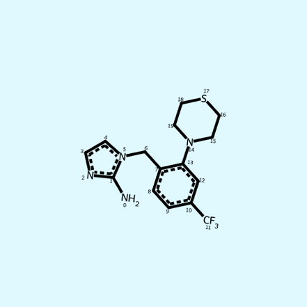 Nc1nccn1Cc1ccc(C(F)(F)F)cc1N1CCSCC1